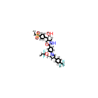 CCC(F)(F)OC[C@@H]1CC(c2ccc(C(F)(F)F)cc2)CN1c1ccc(C(=O)NC(C)C(C)[C@@H](CO)c2ccc(S(=O)(=O)CC)cc2)cc1